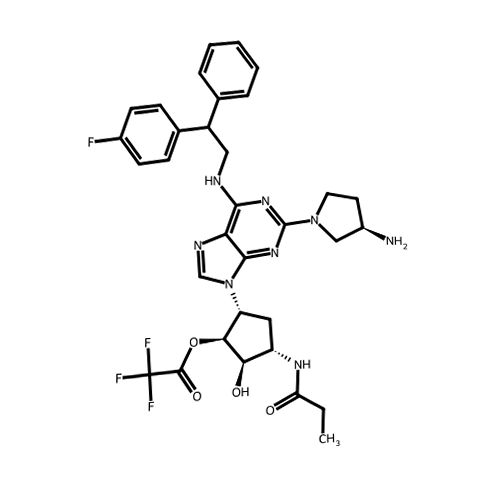 CCC(=O)N[C@H]1C[C@@H](n2cnc3c(NCC(c4ccccc4)c4ccc(F)cc4)nc(N4CC[C@@H](N)C4)nc32)[C@H](OC(=O)C(F)(F)F)[C@@H]1O